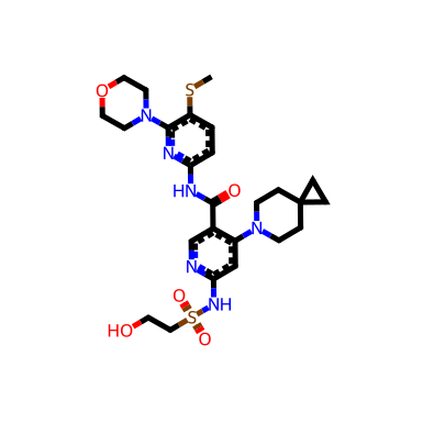 CSc1ccc(NC(=O)c2cnc(NS(=O)(=O)CCO)cc2N2CCC3(CC2)CC3)nc1N1CCOCC1